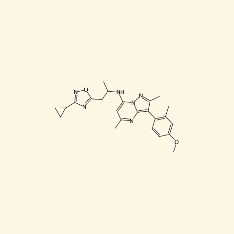 COc1ccc(-c2c(C)nn3c(NC(C)Cc4nc(C5CC5)no4)cc(C)nc23)c(C)c1